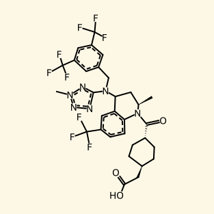 C[C@@H]1CC(N(Cc2cc(C(F)(F)F)cc(C(F)(F)F)c2)c2nnn(C)n2)c2cc(C(F)(F)F)ccc2N1C(=O)[C@H]1CC[C@H](CC(=O)O)CC1